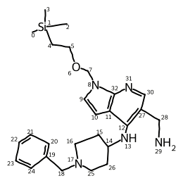 C[Si](C)(C)CCOCn1ccc2c(NC3CCN(Cc4ccccc4)CC3)c(CN)cnc21